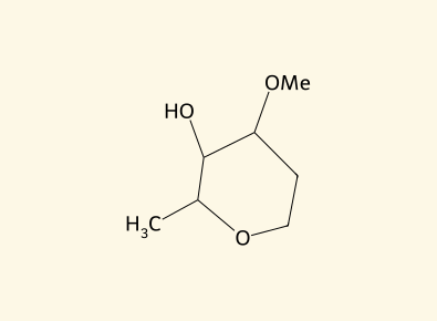 COC1CCOC(C)C1O